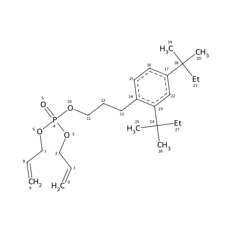 C=CCOP(=O)(OCC=C)OCCCc1ccc(C(C)(C)CC)cc1C(C)(C)CC